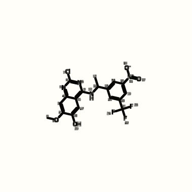 COc1cc2nc(Cl)nc(NC(C)c3cc([N+](=O)[O-])cc(C(F)(F)F)c3)c2cc1O